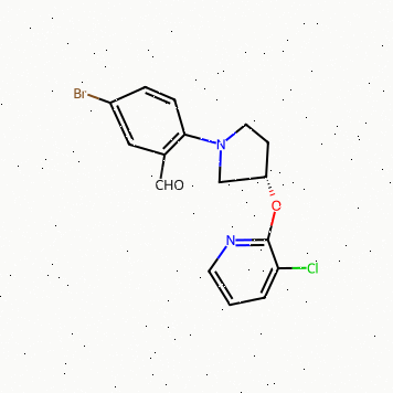 O=Cc1cc(Br)ccc1N1CC[C@H](Oc2ncccc2Cl)C1